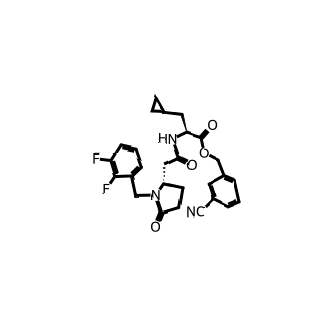 N#Cc1cccc(COC(=O)[C@H](CC2CC2)NC(=O)C[C@@H]2CCC(=O)N2Cc2cccc(F)c2F)c1